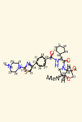 CN[C@H]1CN(C(=O)[C@@H](NC(=O)c2ccc(-c3csc(N4CCN(C)CC4)n3)cc2)C2CCCCC2)[C@@H]2C(=O)CO[C@H]12